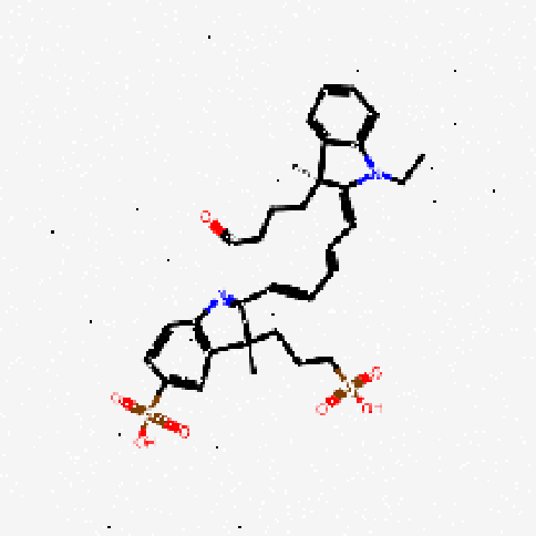 CCN1/C(=C/C=C/C=C/C2=Nc3ccc(S(=O)(=O)O)cc3[C@@]2(C)CCCS(=O)(=O)O)[C@@](C)(CCCC=O)c2ccccc21